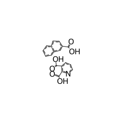 O=C(O)c1ccc2ccccc2c1.O=C(O)c1cccnc1C(=O)O